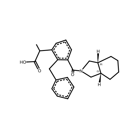 CC(C(=O)O)c1cccc(C(=O)N2C[C@H]3CCCC[C@H]3C2)c1Cc1ccccc1